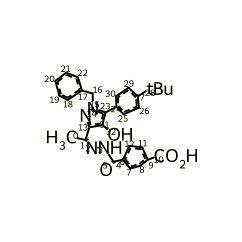 CC(=NNC(=O)c1ccc(C(=O)O)cc1)c1nn(Cc2ccccc2)c(-c2ccc(C(C)(C)C)cc2)c1O